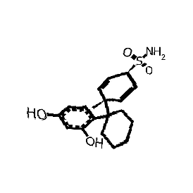 C[C@]1(C2(c3ccc(O)cc3O)CCCCC2)C=C[C@H](S(N)(=O)=O)C=C1